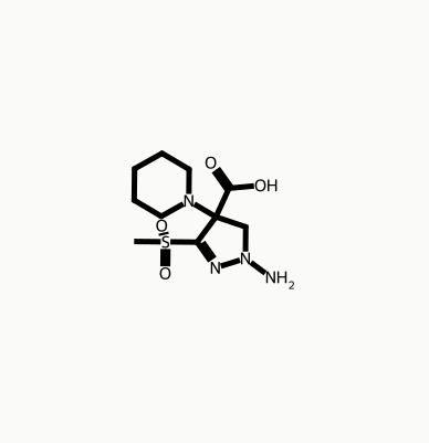 CS(=O)(=O)C1=NN(N)CC1(C(=O)O)N1CCCCC1